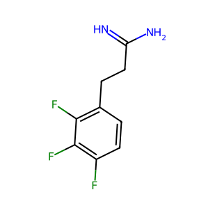 N=C(N)CCc1ccc(F)c(F)c1F